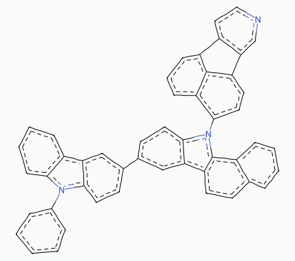 c1ccc(-n2c3ccccc3c3cc(-c4ccc5c(c4)c4ccc6ccccc6c4n5-c4ccc5c6c(cccc46)-c4ccncc4-5)ccc32)cc1